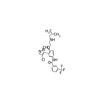 CC(C)CNCCOc1ccc(NC(=O)c2cccc(C(F)(F)F)c2)cc1-c1c(Cl)cnn1C